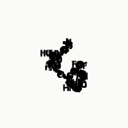 Cc1ncsc1-c1ccc(CNC(=O)[C@@H]2C[C@@H](O)CN2C(=O)[C@@H](NC(=O)CCOCCC(=O)N2CCC(Nc3cccc(C(=O)Nc4cnn5ccc(N6CCC[C@@H]6c6cc(F)ccc6F)nc45)n3)CC2)C(C)(C)C)cc1